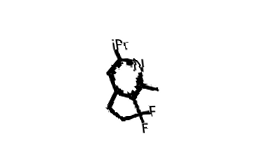 Cc1nc(C(C)C)cc2c1C(F)(F)CC2